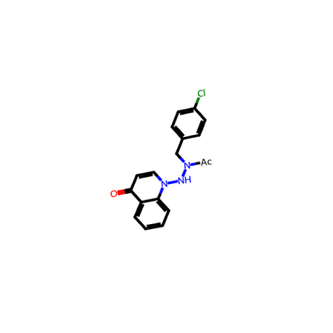 CC(=O)N(Cc1ccc(Cl)cc1)Nn1ccc(=O)c2ccccc21